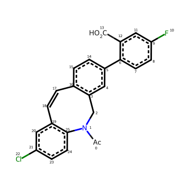 CC(=O)N1Cc2cc(-c3ccc(F)cc3C(=O)O)ccc2C=Cc2cc(Cl)ccc21